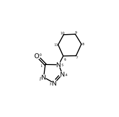 O=C1[N]N=NN1C1CCCCC1